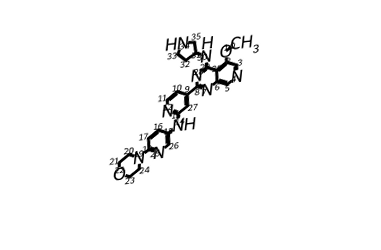 COc1cncc2nc(-c3ccnc(Nc4ccc(N5CCOCC5)nc4)c3)nc(NC3CCNC3)c12